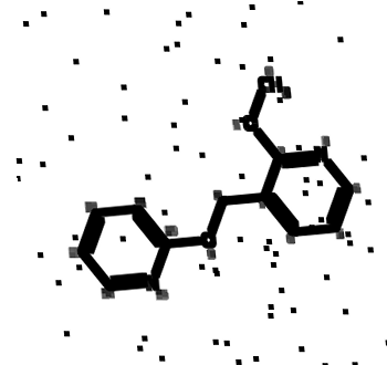 COc1ncccc1COc1ccccn1